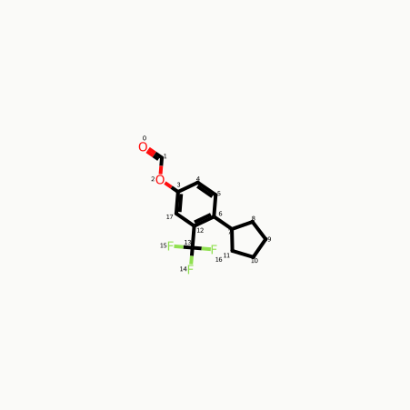 O=COc1ccc(C2CCCC2)c(C(F)(F)F)c1